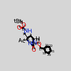 CC(=O)[C@@H]1[C@@H](CNC(=O)OC(C)(C)C)C[C@@H]2CN1C(=O)N2OCc1ccccc1